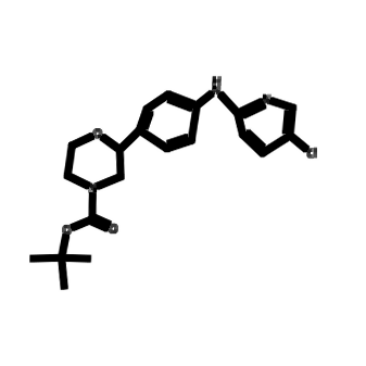 CC(C)(C)OC(=O)N1CCOC(c2ccc(Nc3ccc(Cl)cn3)cc2)C1